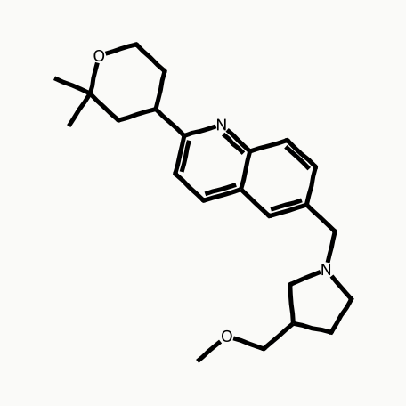 COCC1CCN(Cc2ccc3nc(C4CCOC(C)(C)C4)ccc3c2)C1